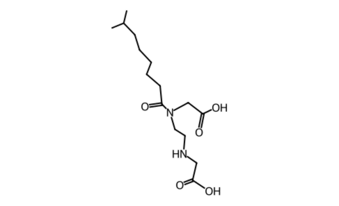 CC(C)CCCCCC(=O)N(CCNCC(=O)O)CC(=O)O